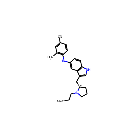 COCCN1CCC[C@@H]1Cc1c[nH]c2ccc(Nc3ccc(C#N)cc3[N+](=O)[O-])cc12